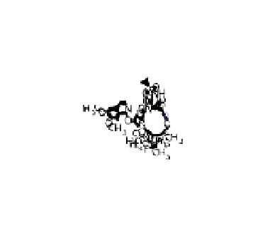 COc1cc2ccnc(O[C@@H]3C[C@H]4C(=O)N[C@]5(C(=O)NS(=O)(=O)C6CC6)C[C@H]5/C=C\CC[C@H](C)C[C@@H](C)[C@H](N(C(=O)O)C(C)(C)C(C)(F)F)C(=O)N4C3)c2cc1OC